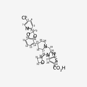 CC1(c2ccc(Cl)cn2)Oc2cccc(C3CCN(Cc4nc5sc(C(=O)O)cc5n4C[C@@H]4CCO4)CC3)c2O1